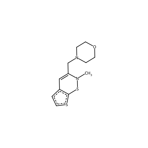 CN1Sc2sccc2C=C1CN1CCOCC1